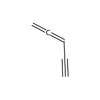 C#CC=C=C